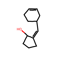 OC1CCCC1=CC1CC=CCC1